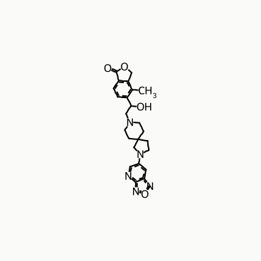 Cc1c(C(O)CN2CCC3(CC2)CCN(c2cnc4nonc4c2)C3)ccc2c1COC2=O